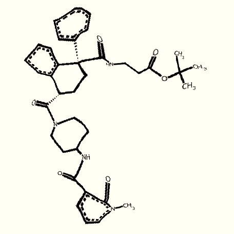 Cn1cccc(C(=O)NC2CCN(C(=O)[C@H]3CC[C@@](C(=O)NCCC(=O)OC(C)(C)C)(c4ccccc4)c4ccccc43)CC2)c1=O